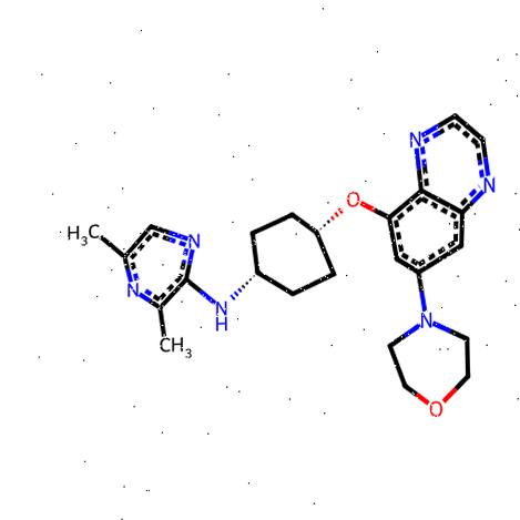 Cc1cnc(N[C@H]2CC[C@@H](Oc3cc(N4CCOCC4)cc4nccnc34)CC2)c(C)n1